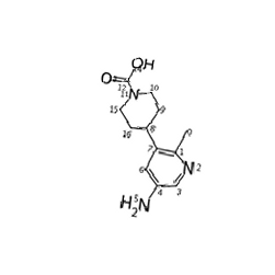 Cc1ncc(N)cc1C1CCN(C(=O)O)CC1